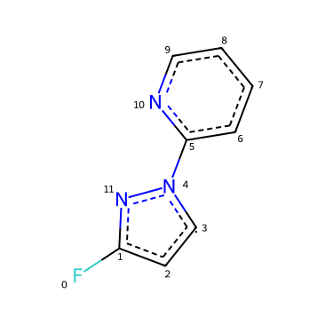 Fc1c[c]n(-c2ccccn2)n1